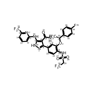 C[C@H](Oc1cc(-c2n[nH]c(Nc3cccc(C(F)(F)F)n3)c2C(N)=O)ccc1NS(=O)(=O)CC(F)(F)F)c1ccc(F)cc1